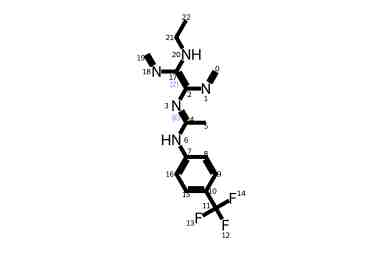 C=NC(/N=C(\C)Nc1ccc(C(F)(F)F)cc1)=C(/N=C)NCC